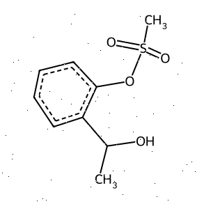 CC(O)c1ccccc1OS(C)(=O)=O